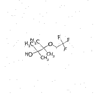 CC(C)(O)C(C)(C)O[CH]C(F)(F)F